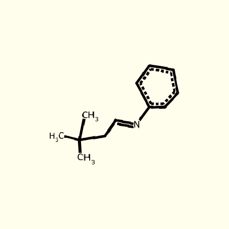 CC(C)(C)C/C=N/c1ccccc1